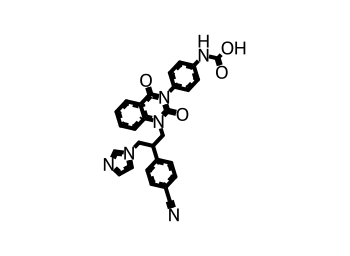 N#Cc1ccc(C(Cn2ccnc2)Cn2c(=O)n(-c3ccc(NC(=O)O)cc3)c(=O)c3ccccc32)cc1